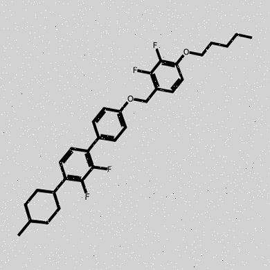 CCCCCOc1ccc(COc2ccc(-c3ccc(C4CCC(C)CC4)c(F)c3F)cc2)c(F)c1F